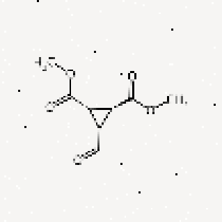 COC(=O)[C@H]1C(C=O)[C@@H]1C(=O)OC